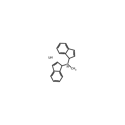 C[SiH](C1C=Cc2ccccc21)C1C=Cc2ccccc21.[LiH]